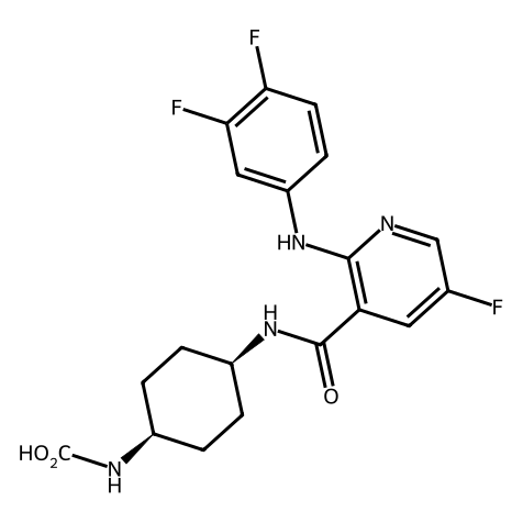 O=C(O)N[C@H]1CC[C@@H](NC(=O)c2cc(F)cnc2Nc2ccc(F)c(F)c2)CC1